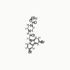 CC(C)(C)OC(=O)N1CCN(CC(=O)Cn2c3ccc(Br)cc3c3cc(Br)ccc32)CC1